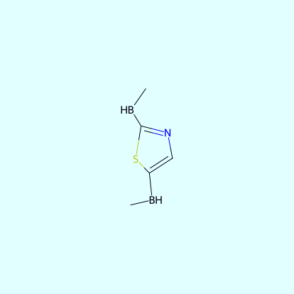 CBc1cnc(BC)s1